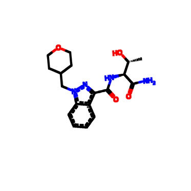 C[C@@H](O)[C@H](NC(=O)c1nn(CC2CCOCC2)c2ccccc12)C(N)=O